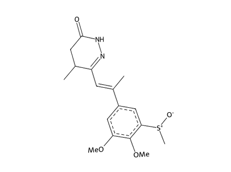 COc1cc(C(C)=CC2=NNC(=O)CC2C)cc([S+](C)[O-])c1OC